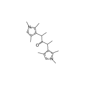 Cc1cn(C)c(C)c1C(C)C(=O)C(C)c1c(C)cn(C)c1C